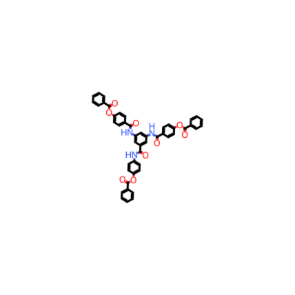 O=C(Nc1cc(NC(=O)c2ccc(OC(=O)c3ccccc3)cc2)cc(C(=O)Nc2ccc(OC(=O)c3ccccc3)cc2)c1)c1ccc(OC(=O)c2ccccc2)cc1